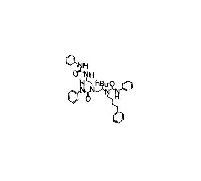 CCCCC(CN(C(=O)Nc1ccccc1)[C@@H](C)CNC(=O)Nc1ccccc1)N(CCCCc1ccccc1)C(=O)Nc1ccccc1